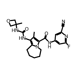 Cc1c(NC(=O)NC2(C)COC2)c2n(c1C(=O)Nc1cc(F)nc(C#N)c1)CCCCC2